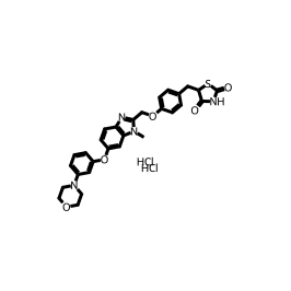 Cl.Cl.Cn1c(COc2ccc(CC3SC(=O)NC3=O)cc2)nc2ccc(Oc3cccc(N4CCOCC4)c3)cc21